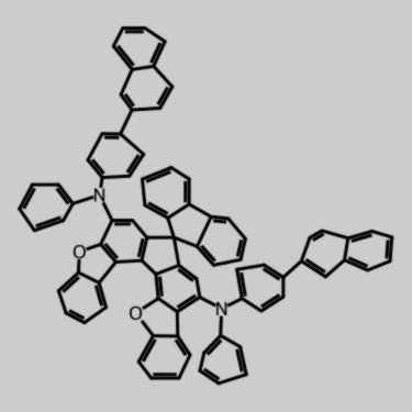 c1ccc(N(c2ccc(-c3ccc4ccccc4c3)cc2)c2cc3c(c4c2oc2ccccc24)-c2c(cc(N(c4ccccc4)c4ccc(-c5ccc6ccccc6c5)cc4)c4c2oc2ccccc24)C32c3ccccc3-c3ccccc32)cc1